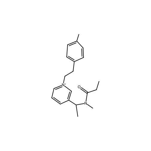 CCC(=O)N(C)C(C)c1ccc[n+](CCc2ccc(C)cc2)c1